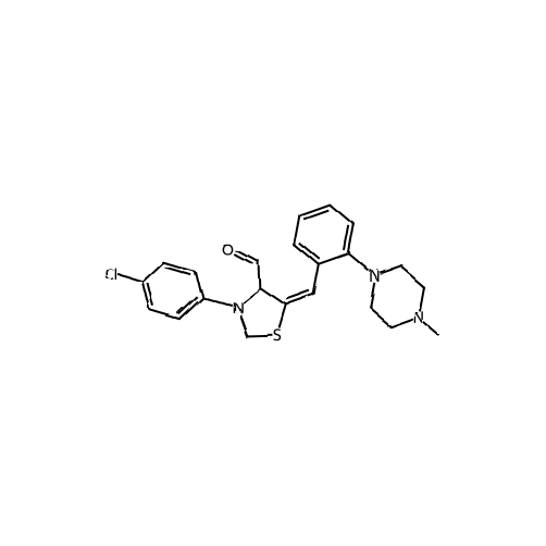 CN1CCN(c2ccccc2C=C2SCN(c3ccc(Cl)cc3)C2C=O)CC1